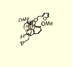 COc1ccc2c3c1O[C@H]1[C@@]4(OC)CC[C@@]5(C[C@@H]4COCc4ccco4)[C@@H](C2)N(CC2CC2)CC[C@]315